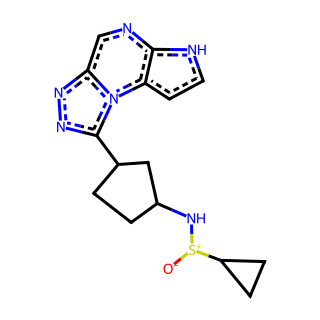 [O-][S+](NC1CCC(c2nnc3cnc4[nH]ccc4n23)C1)C1CC1